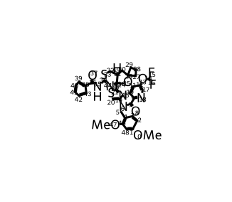 COc1ccc(CN(C(=O)c2ccc(OC(F)F)cn2)c2csc(C34COC5(CCC5)C[C@@H]3CSC(NC(=O)c3ccccc3)=N4)n2)c(OC)c1